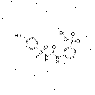 CCOS(=O)(=O)c1cccc(NC(=O)NS(=O)(=O)c2ccc(C)cc2)c1